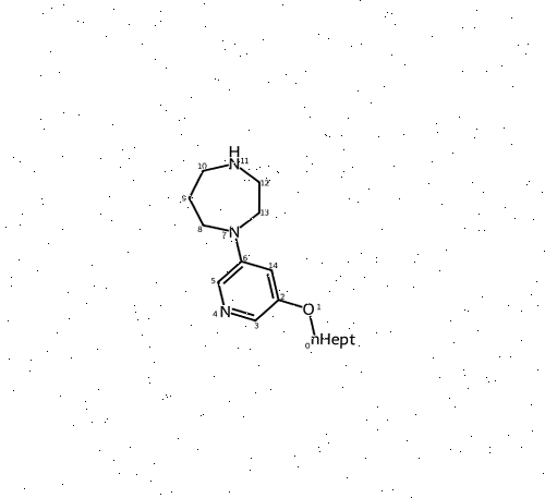 CCCCCCCOc1cncc(N2CCCNCC2)c1